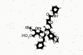 C[C@@H]([C@@H](Cc1ccc(C(=O)Nc2ccccc2)o1)c1ccc2c(c1)OCO2)N(CC=Cc1ccccc1)C(=O)C(O)=C(CC(=O)O)C(=O)OC(C)(C)C